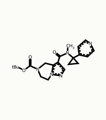 CN(C(=O)c1cnn2c1CN(C(=O)OC(C)(C)C)CC2)C1(c2ccncc2)CC1